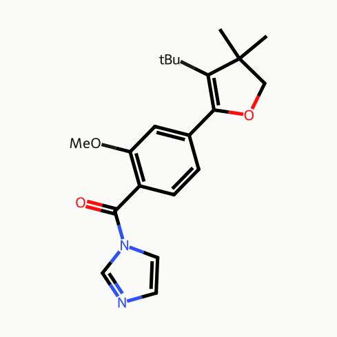 COc1cc(C2=C(C(C)(C)C)C(C)(C)CO2)ccc1C(=O)n1ccnc1